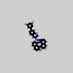 Fc1cc(F)cc(-c2ccc3cc(-n4c5ccc6ccc7sc8ccc9ccc4c4c9c8c7c6c45)cnc3c2)c1